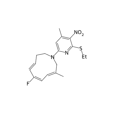 CCSc1nc(N2CC/C=C/C(F)=C\C=C(/C)C2)cc(C)c1[N+](=O)[O-]